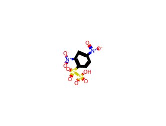 O=[N+]([O-])c1ccc(S(=O)(=O)S(=O)(=O)O)c([N+](=O)[O-])c1